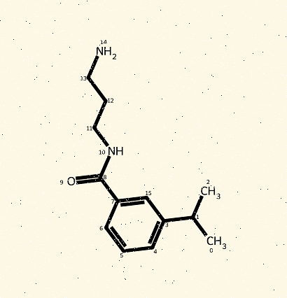 CC(C)c1cccc(C(=O)NCCCN)c1